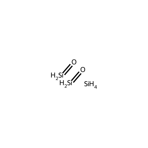 O=[SiH2].O=[SiH2].[SiH4]